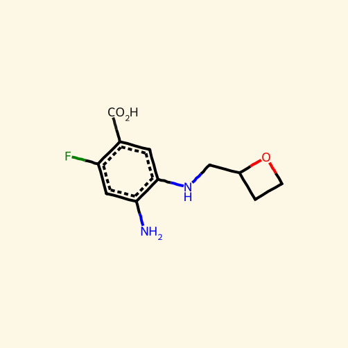 Nc1cc(F)c(C(=O)O)cc1NCC1CCO1